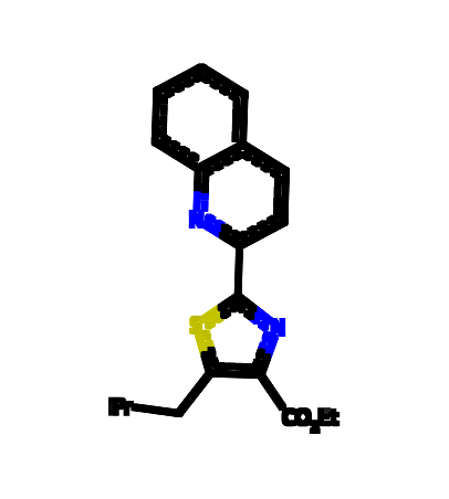 CCOC(=O)c1nc(-c2ccc3ccccc3n2)sc1CC(C)C